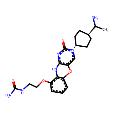 CC(N)[C@H]1CC[C@H](n2cc3c(nc2=O)Nc2c(OCCNC(N)=O)cccc2O3)CC1